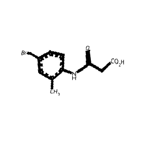 Cc1cc(Br)ccc1NC(=O)CC(=O)O